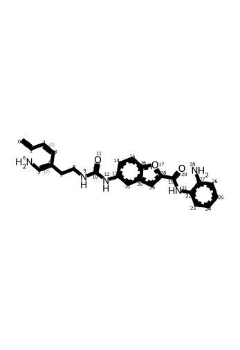 C=C/C=C\C(=C/N)CCNC(=O)Nc1ccc2oc(C(=O)Nc3ccccc3N)cc2c1